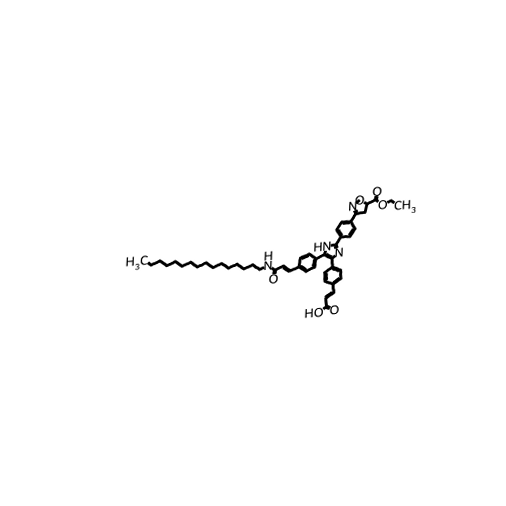 CCCCCCCCCCCCCCCCNC(=O)C=Cc1ccc(-c2[nH]c(-c3ccc(C4=NOC(C(=O)OCC)C4)cc3)nc2-c2ccc(C=CC(=O)O)cc2)cc1